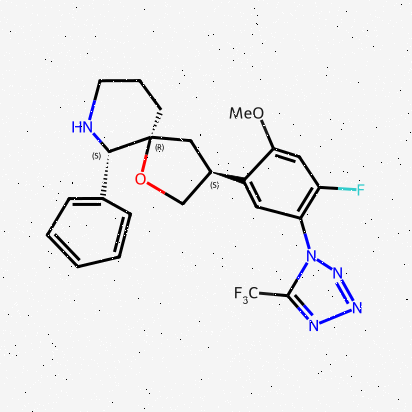 COc1cc(F)c(-n2nnnc2C(F)(F)F)cc1[C@H]1CO[C@]2(CCCN[C@H]2c2ccccc2)C1